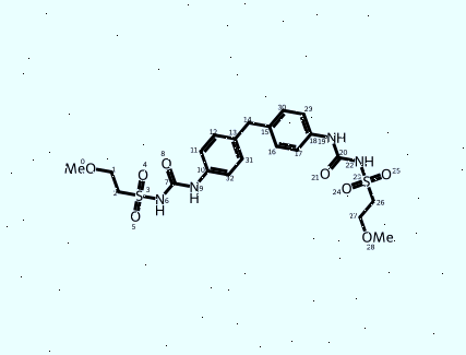 COCCS(=O)(=O)NC(=O)Nc1ccc(Cc2ccc(NC(=O)NS(=O)(=O)CCOC)cc2)cc1